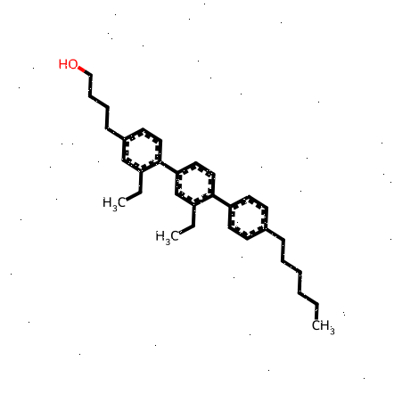 CCCCCCc1ccc(-c2ccc(-c3ccc(CCCCO)cc3CC)cc2CC)cc1